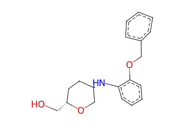 OC[C@@H]1CC[C@@H](Nc2ccccc2OCc2ccccc2)CO1